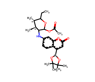 CCC1OC(OC(C)=O)C(Nc2ccc3c(B4OC(C)(C)C(C)(C)O4)cc(=O)oc3c2)[C@@H](C)[C@@H]1C